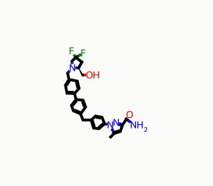 Cc1cc(C(N)=O)nn1-c1ccc(Cc2ccc(-c3ccc(CN4CC(F)(F)C[C@H]4CO)cc3)cc2)cc1